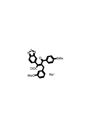 COc1cccc(CC(C(=O)c2ccc(SC)cc2)=C(C(=O)[O-])c2ccc3nsnc3c2)c1.[Na+]